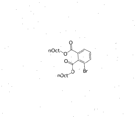 CCCCCCCCOC(=O)c1cccc(Br)c1C(=O)OCCCCCCCC